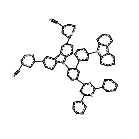 N#Cc1cccc(-c2ccc3c(c2)c2cc(-c4cccc(C#N)c4)ccc2n3-c2ccc(-c3cc(-c4ccccc4)nc(-c4ccccc4)n3)cc2-c2cccc(-n3c4ccccc4c4ccccc43)c2)c1